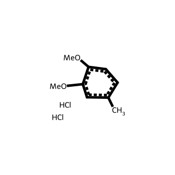 COc1ccc(C)cc1OC.Cl.Cl